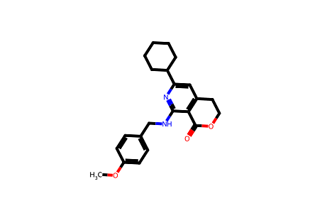 COc1ccc(CNc2nc(C3CCCCC3)cc3c2C(=O)OCC3)cc1